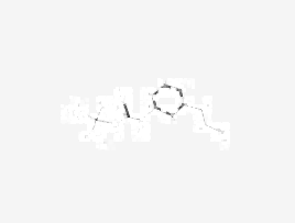 CC(C)(C)OC(=O)Nc1cccc(CCBr)c1